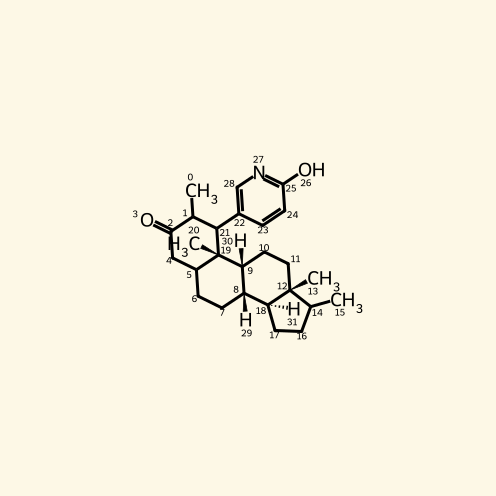 CC1C(=O)CC2CC[C@@H]3[C@@H](CC[C@]4(C)C(C)CC[C@@H]34)[C@@]2(C)C1c1ccc(O)nc1